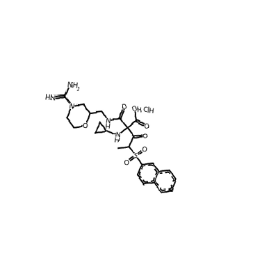 CC(C(=O)C(NC1CC1)(C(=O)O)C(=O)NCC1CN(C(=N)N)CCO1)S(=O)(=O)c1ccc2ccccc2c1.Cl